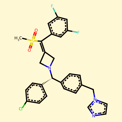 CS(=O)(=O)C(=C1CN([C@@H](c2ccc(Cl)cc2)c2ccc(Cn3ccnc3)cc2)C1)c1cc(F)cc(F)c1